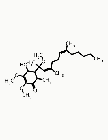 CCCCCC(C)=CCCC(C)=CC(C)(OC)C1C(C)C(=O)C(OC)=C(OC)C1O